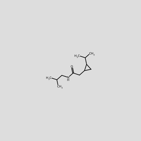 CC(C)CNC(=O)CC1CC1C(C)C